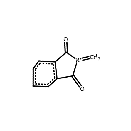 C=[N+]1C(=O)c2ccccc2C1=O